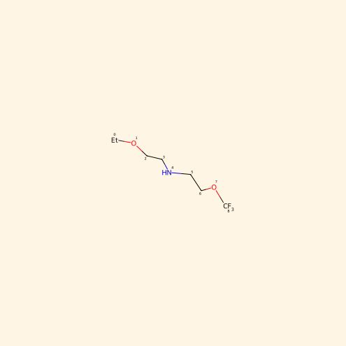 CCOCCNCCOC(F)(F)F